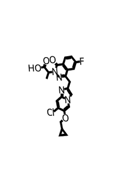 CC(C(=O)O)n1nc(Cc2cn3cc(OCC4CC4)c(Cl)cc3n2)c2cc(F)ccc2c1=O